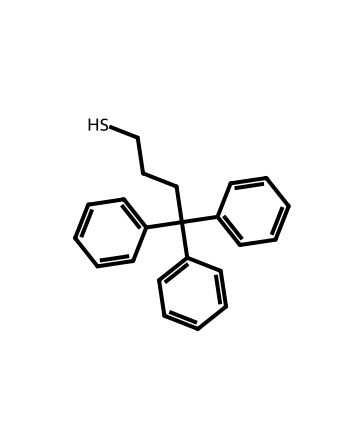 SCCCC(c1ccccc1)(c1ccccc1)c1ccccc1